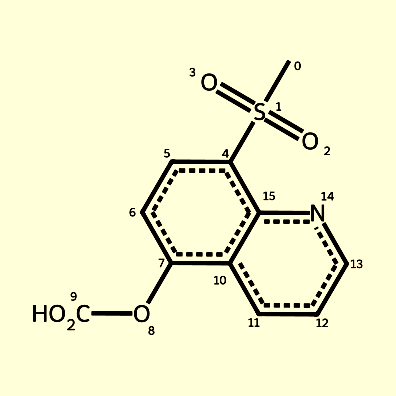 CS(=O)(=O)c1ccc(OC(=O)O)c2cccnc12